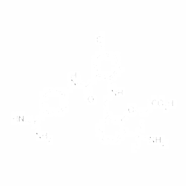 CC(C)(N)c1cccc(CNc2ccc(Cl)cc2C(=O)Nc2ccc(C(=N)N)cc2)c1OCC(=O)O